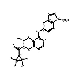 C[C@H]1Cc2c(ncnc2Oc2ccc3c(ccn3C(=O)O)c2)CN1C(=O)C1C(C)(C)C1(C)C